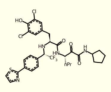 CCC[C@H](NC(=O)[C@H](Cc1cc(Cl)c(O)c(Cl)c1)N[C@@H](c1ccc(-c2nccs2)cc1)C(F)(F)F)C(=O)C(=O)NC1CCCC1